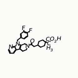 CC1(C(=O)O)CCC(CC(=O)N2CCc3c(n(Cc4ccc(F)c(F)c4)c4ncccc34)C2)CC1